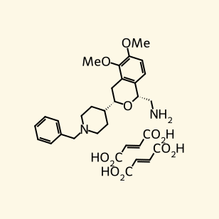 COc1ccc2c(c1OC)C[C@@H](C1CCN(Cc3ccccc3)CC1)O[C@H]2CN.O=C(O)C=CC(=O)O.O=C(O)C=CC(=O)O